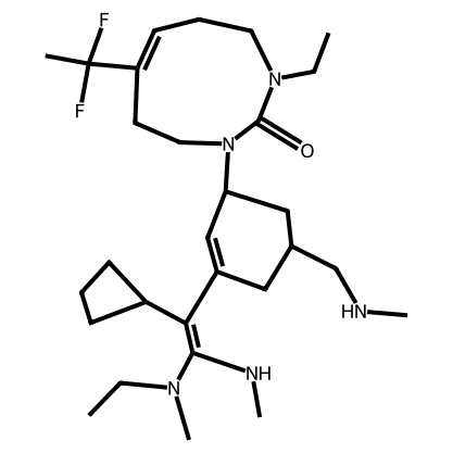 CCN1CC/C=C(/C(C)(F)F)CCN(C2C=C(/C(=C(\NC)N(C)CC)C3CCC3)CC(CNC)C2)C1=O